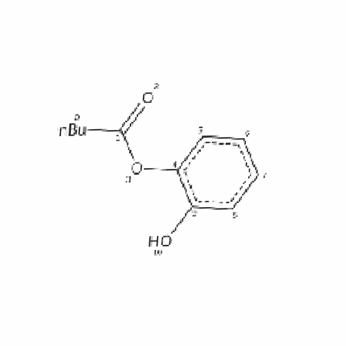 CCC[CH]C(=O)Oc1ccccc1O